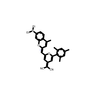 CCN(CC)c1ccc2c(c1)O/C(=C/C1=CC(=C(C#N)C#N)C=C(c3c(C)cc(C)cc3C)O1)C=C2C